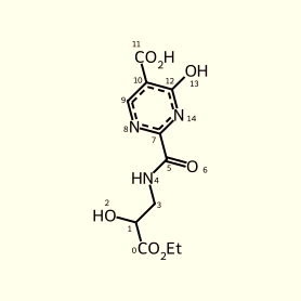 CCOC(=O)C(O)CNC(=O)c1ncc(C(=O)O)c(O)n1